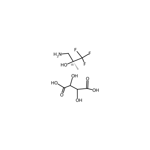 C[C@](O)(CN)C(F)(F)F.O=C(O)C(O)C(O)C(=O)O